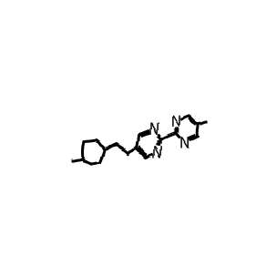 Cc1cnc(-c2ncc(CCC3CCC(C)CC3)cn2)nc1